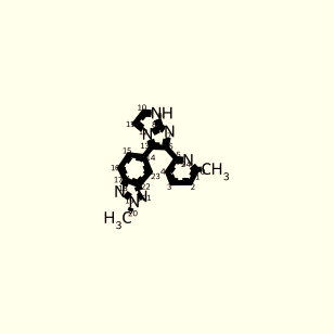 Cc1cccc(-c2nc3[nH]ccn3c2-c2ccc3nn(C)nc3c2)n1